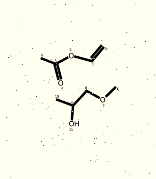 C=COC(C)=O.COCC(C)O